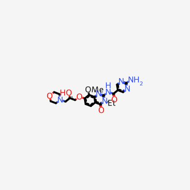 CCn1c(NC(=O)c2cnc(N)nc2)nc2c(OC)c(OC[C@H](O)CN3CCOCC3)ccc2c1=O